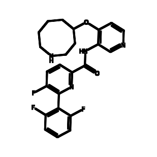 O=C(Nc1cnccc1OC1CCCCNCC1)c1ccc(F)c(-c2c(F)cccc2F)n1